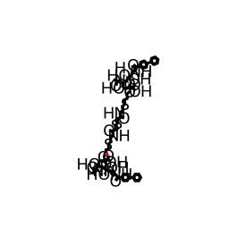 CC(=O)N[C@H]1[C@H]([C@H](O)[C@H](O)CNC(=O)c2ccc(-c3ccccc3)cc2)O[C@@](OCCCSCCNC(=O)CSSCC(=O)NCCSCCCO[C@]2(C(=O)O)C[C@H](O)[C@@H](NC(C)=O)[C@H]([C@H](O)[C@H](O)CNC(=O)c3ccc(-c4ccccc4)cc3)O2)(C(=O)O)C[C@@H]1O